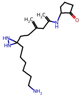 C=C(CCC1(CCCCCCN)NN1)CC(=C)NC1CCCC1=O